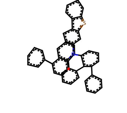 c1ccc(-c2cccc(N(c3ccc4c(c3)sc3ccccc34)c3cccc(-c4ccccc4)c3-c3ccccc3-c3ccccc3)c2)cc1